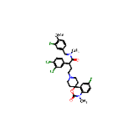 COc1ccc(CN(C)C(=O)C(CCN2CCC3(CC2)OC(=O)N(C)c2ccc(F)cc23)c2ccc(Cl)c(Cl)c2)cc1F